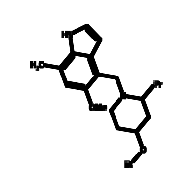 CCOC1CCN(Cc2c(OC)cc(C)c3[nH]ccc23)C(C(C)C)C1